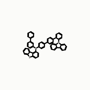 c1ccc(-c2cccc(N(c3ccc(-c4ccc(-c5ccccc5-n5c6ccccc6c6ccccc65)cc4)cc3)c3cccc4sc5ccccc5c34)c2)cc1